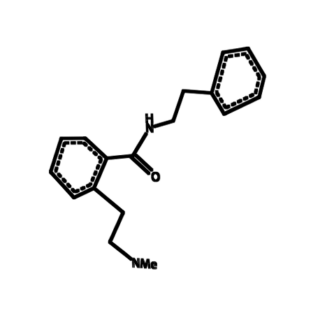 CNCCc1ccccc1C(=O)NCCc1ccccc1